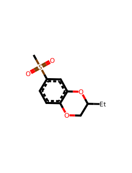 CCC1COc2ccc(S(C)(=O)=O)cc2O1